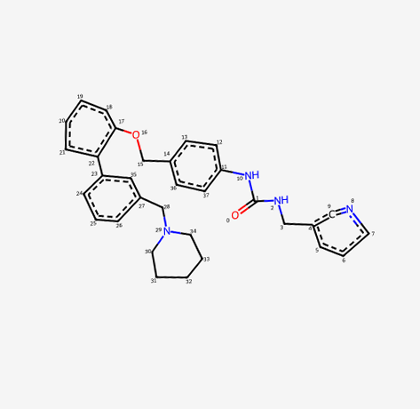 O=C(NCc1cccnc1)Nc1ccc(COc2ccccc2-c2cccc(CN3CCCCC3)c2)cc1